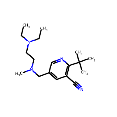 CCN(CC)CCN(C)Cc1cnc(C(C)(C)C)c(C#N)c1